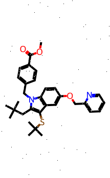 COC(=O)c1ccc(Cn2c(CC(C)(C)C)c(SC(C)(C)C)c3cc(OCc4ccccn4)ccc32)cc1